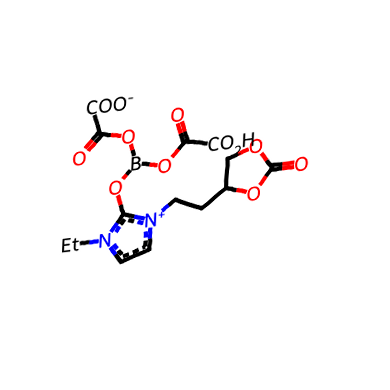 CCn1cc[n+](CCC2COC(=O)O2)c1OB(OC(=O)C(=O)[O-])OC(=O)C(=O)O